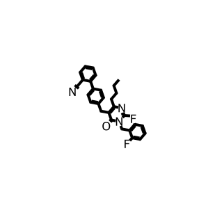 CCCCc1nc(C)n(Cc2c(F)cccc2F)c(=O)c1Cc1ccc(-c2ccccc2C#N)cc1